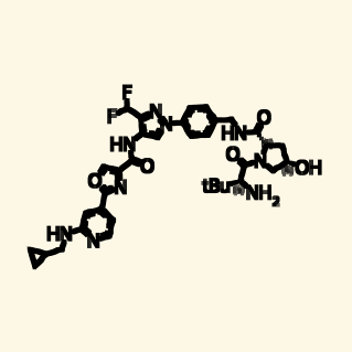 CC(C)(C)[C@H](N)C(=O)N1C[C@H](O)C[C@H]1C(=O)NCc1ccc(-n2cc(NC(=O)c3coc(-c4ccnc(NCC5CC5)c4)n3)c(C(F)F)n2)cc1